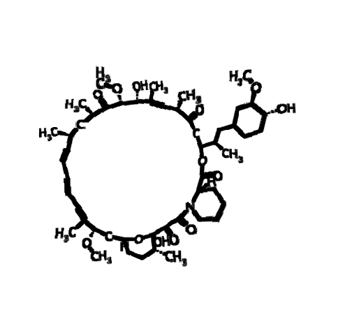 CO[C@H]1C[C@@H]2CC[C@@H](C)[C@@](O)(O2)C(=O)C(=O)N2CCCC[C@H]2C(=O)OC([C@H](C)CC2CC[C@@H](O)[C@H](OC)C2)CC(=O)[C@H](C)/C=C(\C)[C@@H](O)[C@@H](OC)C(=O)[C@H](C)C[C@H](C)/C=C/C=C/C=C/1C